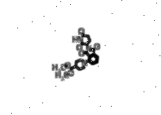 COC(OC)C1CCN(c2cccc3c2C(=O)N(C2CCC(=O)NC2=O)C3=O)CC1